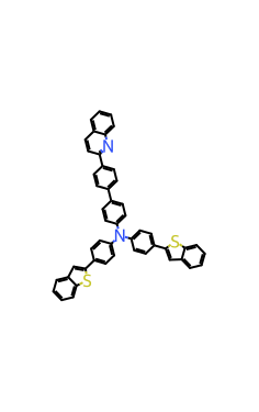 c1ccc2nc(-c3ccc(-c4ccc(N(c5ccc(-c6cc7ccccc7s6)cc5)c5ccc(-c6cc7ccccc7s6)cc5)cc4)cc3)ccc2c1